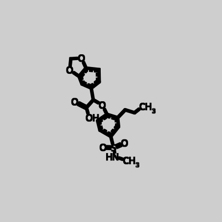 CCCc1cc(S(=O)(=O)NC)ccc1OC(C(=O)O)c1ccc2c(c1)OCO2